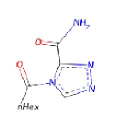 CCCCCCC(=O)n1cnnc1C(N)=O